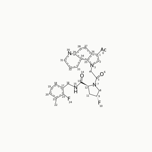 CC(=O)c1cn(CC(=O)N2C[C@H](F)C[C@H]2C(=O)NCc2cccc(C)c2F)c2c1ccc1ncccc12